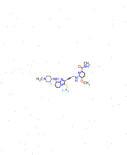 CNC(=O)c1ccc(OC)c(NCC#Cc2nc3c(N[C@@H]4CCN(C)C[C@@H]4F)cccn3c2SC(F)F)n1